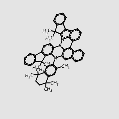 Cc1cc2c(cc1N1c3cc4ccccc4c4c3B(c3ccc5c(c31)C(C)(C)c1ccccc1-5)n1c3c(c5cccc-4c51)-c1ccccc1C3(C)C)C(C)(C)CCC2(C)C